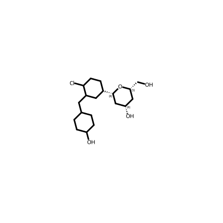 OC[C@@H]1C[C@H](O)C[C@H](C2CCC(Cl)C(CC3CCC(O)CC3)C2)O1